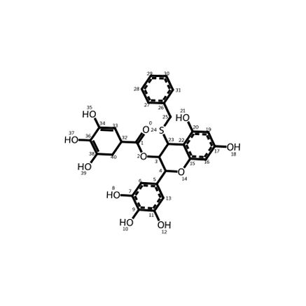 O=C(OC1C(c2cc(O)c(O)c(O)c2)Oc2cc(O)cc(O)c2C1SCc1ccccc1)C1C=C(O)C(O)=C(O)C1